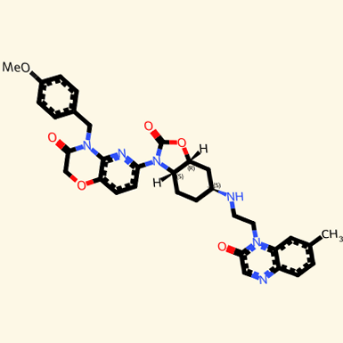 COc1ccc(CN2C(=O)COc3ccc(N4C(=O)O[C@@H]5C[C@@H](NCCn6c(=O)cnc7ccc(C)cc76)CC[C@@H]54)nc32)cc1